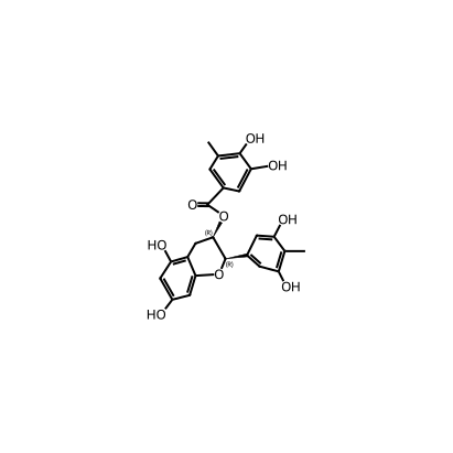 Cc1cc(C(=O)O[C@@H]2Cc3c(O)cc(O)cc3O[C@@H]2c2cc(O)c(C)c(O)c2)cc(O)c1O